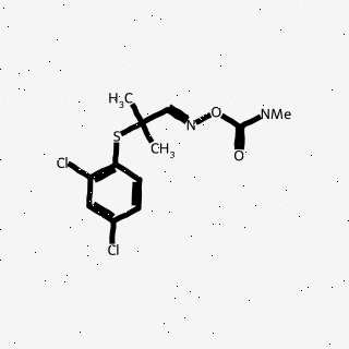 CNC(=O)ON=CC(C)(C)Sc1ccc(Cl)cc1Cl